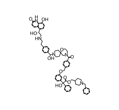 O=C(c1ccc(COc2cccc(C(O)(C(=O)OCC3CCN(Cc4ccccc4)CC3)c3ccccc3)c2)cc1)N1CCOC2(CCN(C(O)c3ccc(CCNC[C@H](O)c4ccc(O)c5[nH]c(=O)ccc45)cc3)CC2)C1